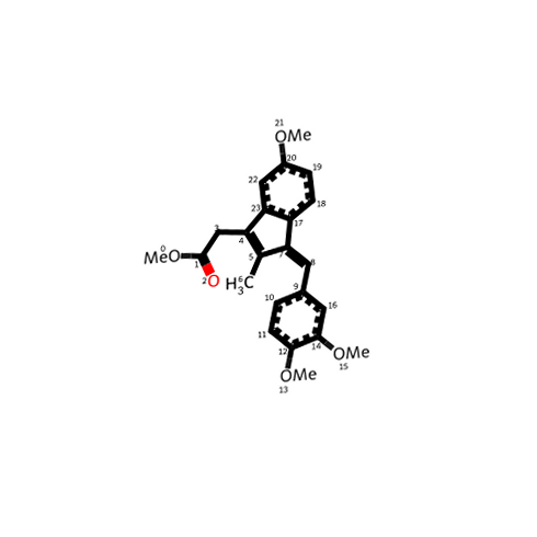 COC(=O)CC1=C(C)C(=Cc2ccc(OC)c(OC)c2)c2ccc(OC)cc21